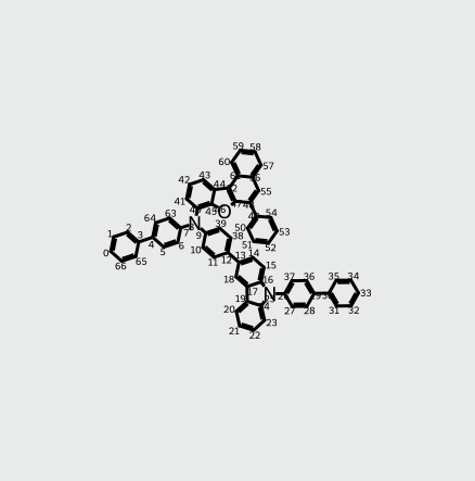 c1ccc(-c2ccc(N(c3ccc(-c4ccc5c(c4)c4ccccc4n5-c4ccc(-c5ccccc5)cc4)cc3)c3cccc4c3oc3c(-c5ccccc5)cc5ccccc5c34)cc2)cc1